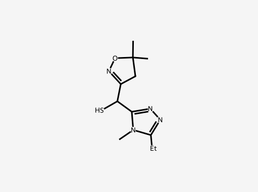 CCc1nnc(C(S)C2=NOC(C)(C)C2)n1C